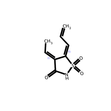 C=C/C=C1\C(=C/C)C(=O)NS1(=O)=O